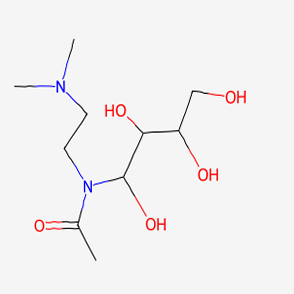 CC(=O)N(CCN(C)C)C(O)C(O)C(O)CO